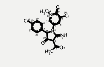 CC(=O)C1C(=N)N(c2cc(Cl)c(=O)n(C)c2)C(c2ccc(Cl)cc2)C1=O